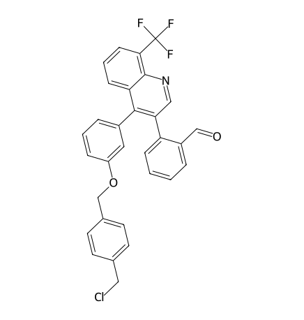 O=Cc1ccccc1-c1cnc2c(C(F)(F)F)cccc2c1-c1cccc(OCc2ccc(CCl)cc2)c1